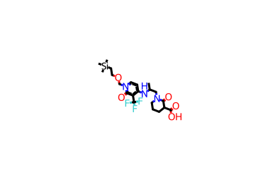 CC(CN1CCCC(C(=O)O)C1=O)Nc1ccn(COCC[Si](C)(C)C)c(=O)c1C(F)(F)F